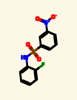 O=[N+]([O-])c1cccc(S(=O)(=O)Nc2ccccc2F)c1